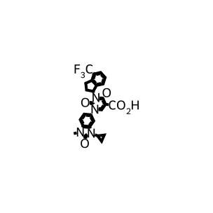 Cn1c(=O)n(C2CC2)c2cc(-n3cc(C(=O)O)c(=O)n(C4CCc5c4cccc5C(F)(F)F)c3=O)ccc21